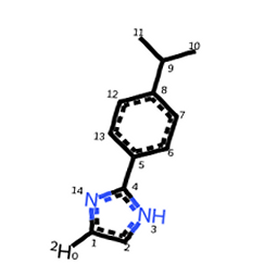 [2H]c1c[nH]c(-c2ccc(C(C)C)cc2)n1